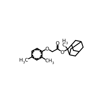 Cc1ccc(OCC(=O)OC2(C)C3CC4CC(C3)CC2C4)c(C)c1